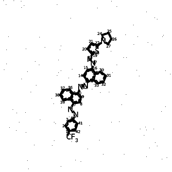 FC(F)(F)c1ccc(/N=N/c2ccc(/N=N/c3ccc(/N=N/c4ccc(N5CCCC5)s4)c4ccccc34)c3ccccc23)cc1